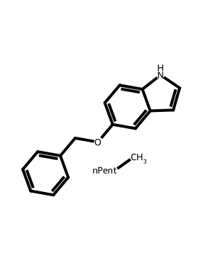 CCCCCC.c1ccc(COc2ccc3[nH]ccc3c2)cc1